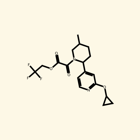 CC1CCC(c2ccnc(OC3CC3)c2)N(C(=O)C(=O)OCC(F)(F)F)C1